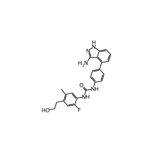 Cc1cc(NC(=O)Nc2ccc(-c3cccc4[nH]nc(N)c34)cc2)c(F)cc1CCO